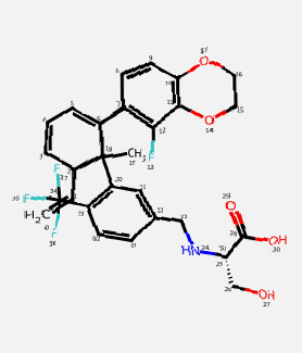 C=CC1C=CC=C(c2ccc3c(c2F)OCCO3)C1(C)c1cc(CN[C@@H](CO)C(=O)O)ccc1C(F)(F)F